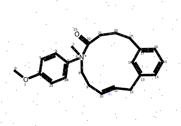 COc1ccc([N+]2(C)CC/C=C/Cc3cccc(c3)CCCC2=O)cc1